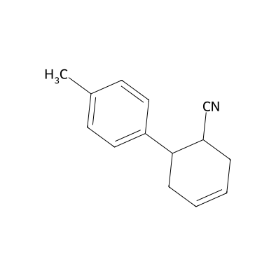 Cc1ccc(C2CC=CCC2C#N)cc1